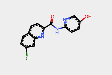 O=C(Nc1ccc(O)cn1)c1ccc2ccc(Cl)cc2n1